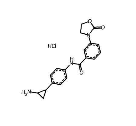 Cl.NC1CC1c1ccc(NC(=O)c2cccc(N3CCOC3=O)c2)cc1